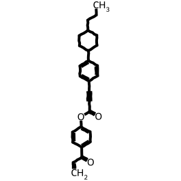 C=CC(=O)c1ccc(OC(=O)C#Cc2ccc(C3CCC(CCC)CC3)cc2)cc1